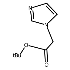 CC(C)(C)OC(=O)Cn1ccnc1